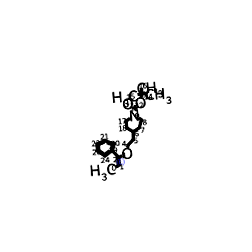 C/C=C(/OCCC1CCN(C(=O)OC(C)(C)C)CC1)c1ccccc1